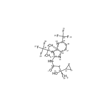 CC(C)(n1c(NC(=O)C[C@@](C)(O)C2CC2)nc2ccc(C(F)(F)F)nc21)C(F)(F)F